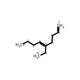 C=CCCC(=CCCC)CC